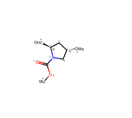 CO[C@H]1C[C@H](C=O)N(C(=O)OC(C)(C)C)C1